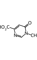 Cn1cnc(C(=O)O)cc1=O